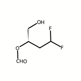 O=CO[C@H](CO)CC(F)F